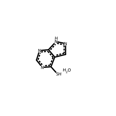 O.Sc1ncnc2[nH]ncc12